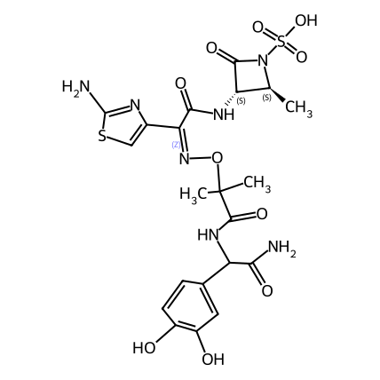 C[C@H]1[C@H](NC(=O)/C(=N\OC(C)(C)C(=O)NC(C(N)=O)c2ccc(O)c(O)c2)c2csc(N)n2)C(=O)N1S(=O)(=O)O